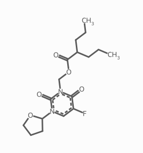 CCCC(CCC)C(=O)OCn1c(=O)c(F)cn(C2CCCO2)c1=O